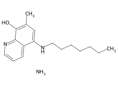 CCCCCCCNc1cc(C)c(O)c2ncccc12.N